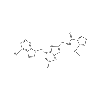 COc1cscc1C(=O)NCc1cc2cc(Cl)cc(Cn3cnc4c(N)ncnc43)c2[nH]1